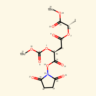 C[C@H](OC(=O)C[C@H](OC(=O)OC(C)(C)C)C(=O)ON1C(=O)CCC1=O)C(=O)OC(C)(C)C